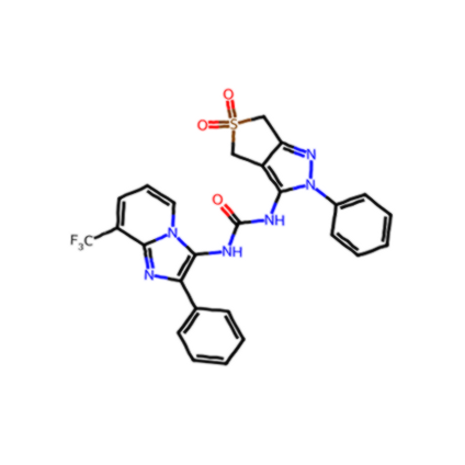 O=C(Nc1c2c(nn1-c1ccccc1)CS(=O)(=O)C2)Nc1c(-c2ccccc2)nc2c(C(F)(F)F)cccn12